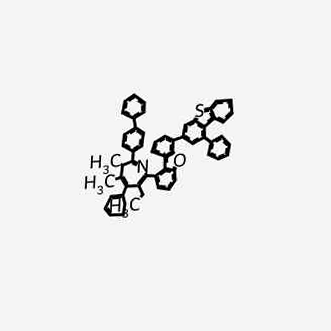 CCC1=C(c2cccc3oc4c(-c5cc(-c6ccccc6)c6c(c5)sc5ccccc56)cccc4c23)N=C(c2ccc(-c3ccccc3)cc2)C(C)C(C)=C1C1=CC=CCC1